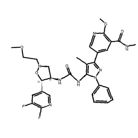 CNC(=O)c1cc(-c2nn(-c3ccccc3)c(NC(=O)N[C@@H]3CN(CCOC)O[C@H]3c3cnc(F)c(F)c3)c2C)cnc1OC